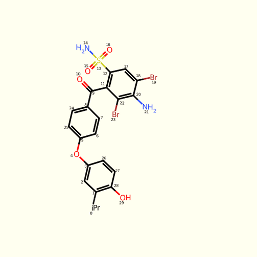 CC(C)c1cc(Oc2ccc(C(=O)c3c(S(N)(=O)=O)cc(Br)c(N)c3Br)cc2)ccc1O